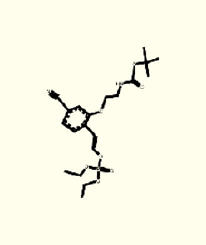 CCOP(=O)(OC=Cc1ccc(C#N)cc1OCCNC(=O)OC(C)(C)C)OCC